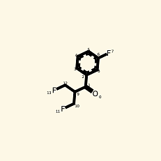 O=C(c1cccc(F)c1)C(CF)CF